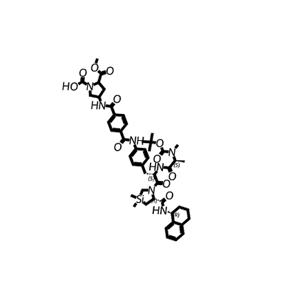 COC(=O)C1CC(NC(=O)c2ccc(C(=O)Nc3ccc(C[C@H](NC(=O)[C@H](C)N(C)C(=O)OC(C)(C)C)C(=O)N4C[Si](C)(C)C[C@H]4C(=O)N[C@@H]4CCCc5ccccc54)cc3)cc2)CN1C(=O)O